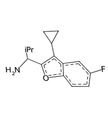 CC(C)C(N)c1oc2ccc(F)cc2c1C1CC1